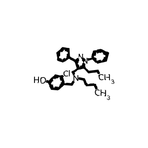 CCCCN(Cc1ccc(O)cc1Cl)Cc1c(-c2ccccc2)nn(-c2ccccc2)c1CCC